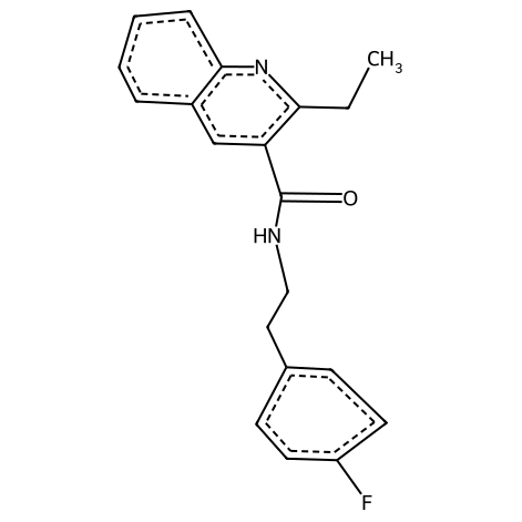 CCc1nc2ccccc2cc1C(=O)NCCc1ccc(F)cc1